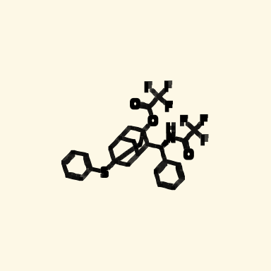 O=C(N[C@@H](c1ccccc1)C1C2CC3CC(Sc4ccccc4)(C2)CC1(OC(=O)C(F)(F)F)C3)C(F)(F)F